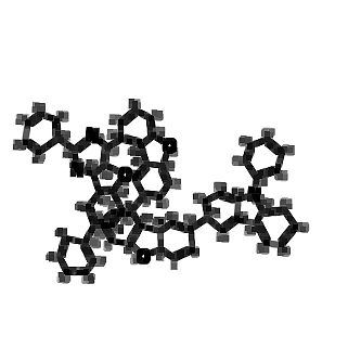 C1=CC2Oc3cccc(-c4ccc5oc6cccc(-c7nc(-c8ccccc8)nc8c7oc7ccc(-c9ccccc9)cc78)c6c5c4)c3C2C=C1c1ccc2c(c1)c1ccccc1n2-c1ccccc1